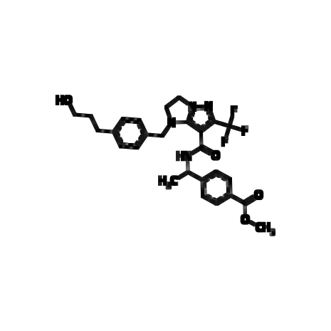 COC(=O)c1ccc(C(C)NC(=O)c2c(C(F)(F)F)nn3c2N(Cc2ccc(CCCO)cc2)CC3)cc1